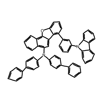 c1ccc(-c2ccc(N(c3ccc(-c4ccccc4)cc3)c3cc4c(oc5cccc(-c6cccc(-n7c8ccccc8c8ccccc87)c6)c54)c4ccccc34)cc2)cc1